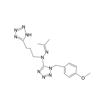 COc1ccc(Cn2nnnc2N(CCCc2nnn[nH]2)N=C(C)C)cc1